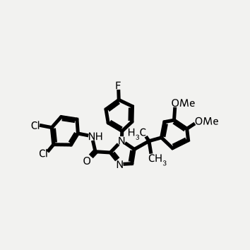 COc1ccc(C(C)(C)c2cnc(C(=O)Nc3ccc(Cl)c(Cl)c3)n2-c2ccc(F)cc2)cc1OC